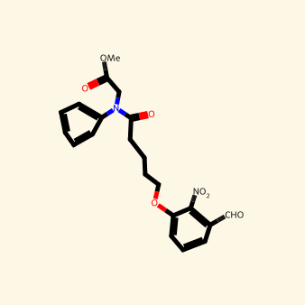 COC(=O)CN(C(=O)CCCCOc1cccc(C=O)c1[N+](=O)[O-])c1ccccc1